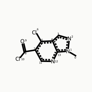 Cn1ncc2c(Cl)c(C(=O)Cl)cnc21